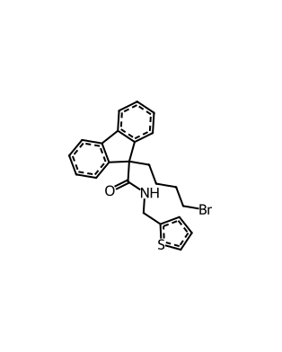 O=C(NCc1cccs1)C1(CCCCBr)c2ccccc2-c2ccccc21